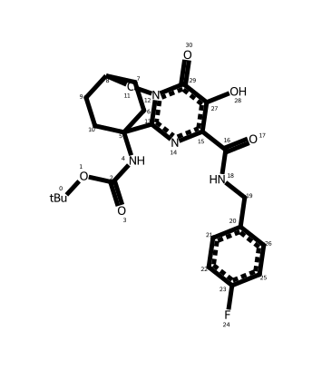 CC(C)(C)OC(=O)NC12CCC(CC1)Cn1c2nc(C(=O)NCc2ccc(F)cc2)c(O)c1=O